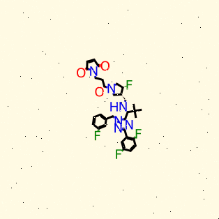 CC(C)(C)[C@@H](NC[C@@H]1CN(C(=O)CCN2C(=O)C=CC2=O)C[C@@H]1F)c1nc(-c2cc(F)ccc2F)nn1Cc1cccc(F)c1